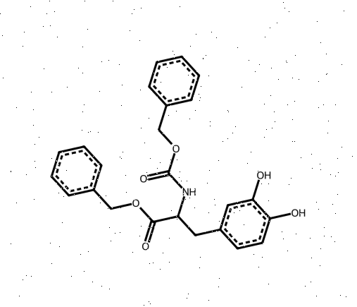 O=C(NC(Cc1ccc(O)c(O)c1)C(=O)OCc1ccccc1)OCc1ccccc1